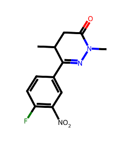 CC1CC(=O)N(C)N=C1c1ccc(F)c([N+](=O)[O-])c1